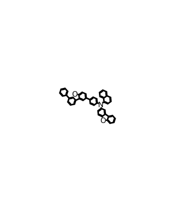 c1ccc(-c2cccc3c2oc2ccc(-c4ccc(N(c5ccc6oc7ccccc7c6c5)c5cccc6ccccc56)cc4)cc23)cc1